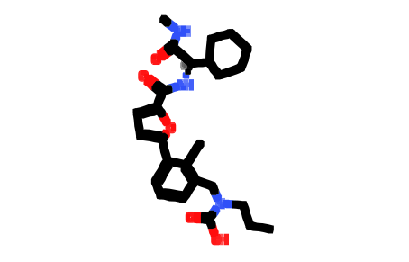 CCCN(Cc1cccc(-c2ccc(C(=O)N[C@H](C(=O)NC)C3CCCCC3)o2)c1C)C(=O)O